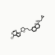 Clc1ncnc2c1ccn2C1CCC(CCc2ccc3ccc(NCC4CC4)nc3c2)O1